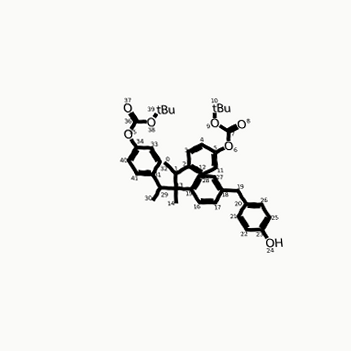 CC(c1ccc(OC(=O)OC(C)(C)C)cc1)C(C)(c1ccc(Cc2ccc(O)cc2)cc1)C(C)c1ccc(OC(=O)OC(C)(C)C)cc1